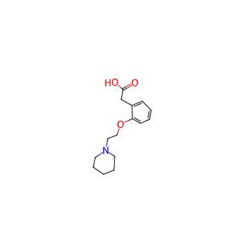 O=C(O)Cc1ccccc1OCCN1CCCCC1